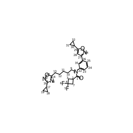 O=C(C1CC(F)(F)C1)N(CCCCCc1nc(C2CC2)no1)c1cccc(-c2cc(C3CC3)on2)c1